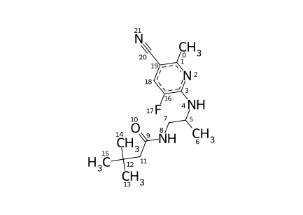 Cc1nc(NC(C)CNC(=O)CC(C)(C)C)c(F)cc1C#N